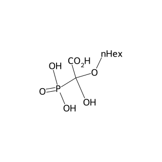 CCCCCCOC(O)(C(=O)O)P(=O)(O)O